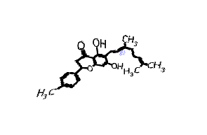 CC(C)=CCC/C(C)=C/Cc1c(O)cc2c(c1O)C(=O)CC(c1ccc(C)cc1)O2